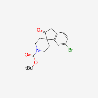 CC(C)(C)OC(=O)N1CCC2(CC1)C(=O)Cc1ccc(Br)cc12